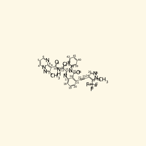 Cc1nn2cccnc2c1C(=O)N[C@@H](C)c1nc2cccc(C#Cc3cnn(C)c3C(F)(F)F)c2c(=O)n1-c1ccccc1